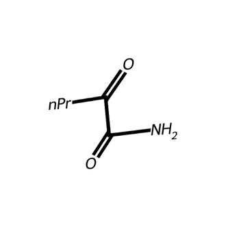 CCCC(=O)C(N)=O